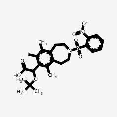 Cc1c(I)c(C(OC(C)(C)C)C(=O)O)c(C)c2c1CCN(S(=O)(=O)c1ccccc1[N+](=O)[O-])CC2